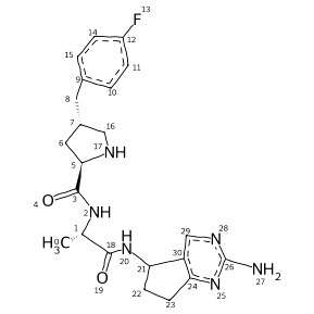 C[C@H](NC(=O)[C@H]1C[C@H](Cc2ccc(F)cc2)CN1)C(=O)NC1CCc2nc(N)ncc21